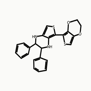 c1ccc(C2Nc3csc(-c4scc5c4OCCO5)c3NC2c2ccccc2)cc1